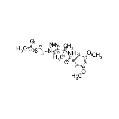 COc1cc(OC)cc(C(=O)NC(C)(C)c2cn(CCSC(C)=O)nn2)c1